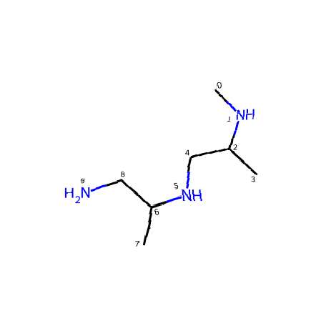 CNC(C)CNC(C)CN